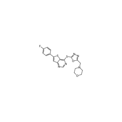 Fc1ccc(-c2cc3ncnc(Sc4nnc(CN5CCOCC5)o4)c3s2)cc1